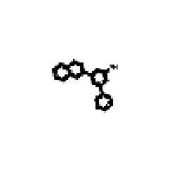 Sc1cc(-c2ccccc2)cc(-c2ccc3ccccc3c2)c1